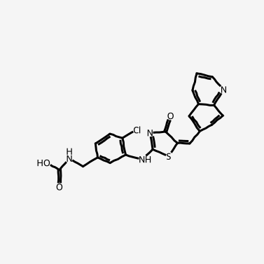 O=C(O)NCc1ccc(Cl)c(NC2=NC(=O)C(=Cc3ccc4ncccc4c3)S2)c1